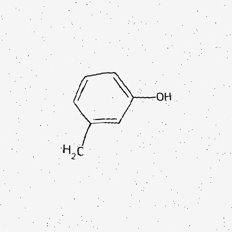 [CH2]c1cccc(O)c1